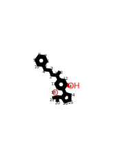 CC(CCCc1ccccc1)c1cc(O)c2c(c1)OC(C)(C)C1=C2CCC1